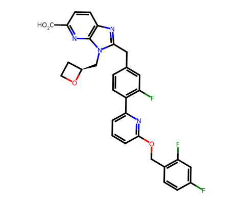 O=C(O)c1ccc2nc(Cc3ccc(-c4cccc(OCc5ccc(F)cc5F)n4)c(F)c3)n(C[C@@H]3CCO3)c2n1